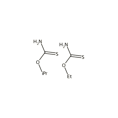 CC(C)OC(N)=S.CCOC(N)=S